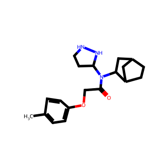 Cc1ccc(OCC(=O)N(C2CCNN2)C2CC3CCC2C3)cc1